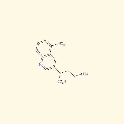 O=CCCC(C(=O)O)c1cnc2cccc([N+](=O)[O-])c2c1